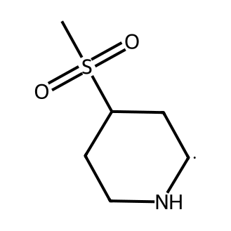 CS(=O)(=O)C1C[CH]NCC1